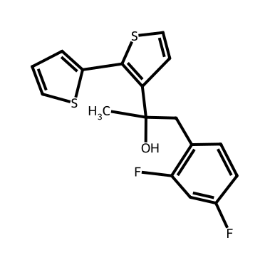 CC(O)(Cc1ccc(F)cc1F)c1ccsc1-c1cccs1